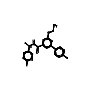 Cc1ccc(-c2cc(SCC(C)C)cc(C(=O)N[C@H](C)c3ccc(C)nc3)c2)cc1